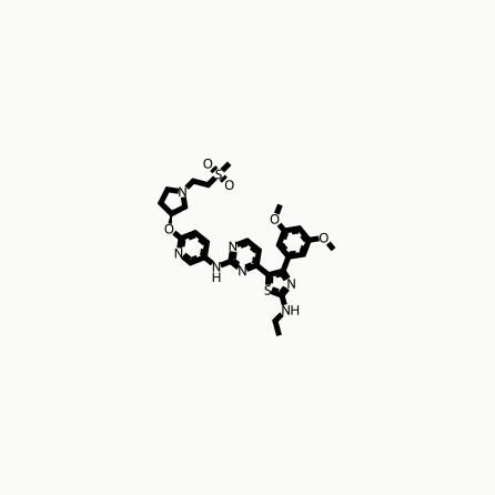 CCNc1nc(-c2cc(OC)cc(OC)c2)c(-c2ccnc(Nc3ccc(O[C@H]4CCN(CCS(C)(=O)=O)C4)nc3)n2)s1